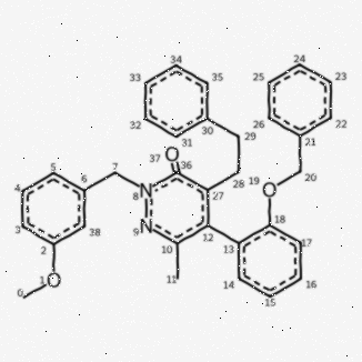 COc1cccc(Cn2nc(C)c(-c3ccccc3OCc3ccccc3)c(CCc3ccccc3)c2=O)c1